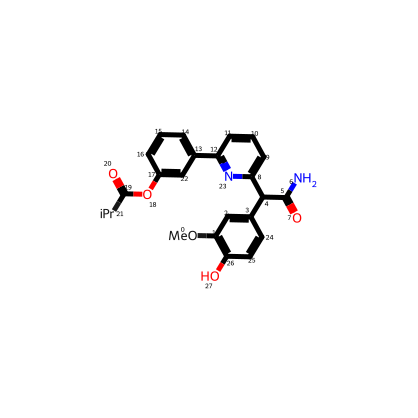 COc1cc(C(C(N)=O)c2cccc(-c3cccc(OC(=O)C(C)C)c3)n2)ccc1O